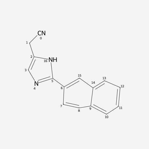 N#CCc1cnc(-c2ccc3ccccc3c2)[nH]1